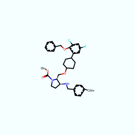 COc1ccc(CN[C@H]2CCN(C(=O)OC(C)(C)C)[C@H]2COC2CCC(c3cc(F)cc(F)c3OCc3ccccc3)CC2)cc1